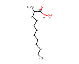 CCCCCCCCCCC(C)C(=O)OO